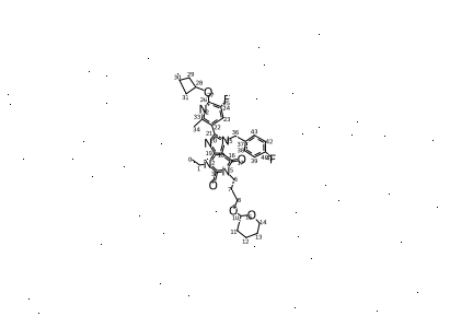 CCn1c(=O)n(CCCOC2CCCCO2)c(=O)c2c1nc(-c1cc(F)c(OC3CCC3)nc1C)n2Cc1ccc(F)cc1